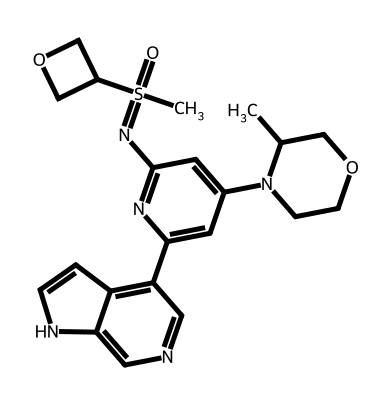 CC1COCCN1c1cc(N=S(C)(=O)C2COC2)nc(-c2cncc3[nH]ccc23)c1